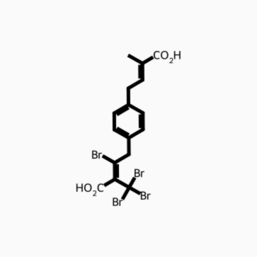 CC(=CCc1ccc(CC(Br)=C(C(=O)O)C(Br)(Br)Br)cc1)C(=O)O